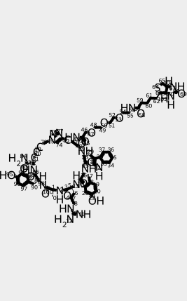 C[C@H]1NC(=O)[C@@H](CCCNC(=N)N)NC(=O)[C@@H](Cc2ccc(O)cc2)NC(=O)[C@@H](Cc2c[nH]c3ccccc23)NC(=O)[C@@H](NC(=O)COCCOCCOCCNC(=O)CCCC[C@H]2SC[C@H]3NC(=O)N[C@H]32)Cc2cn(nn2)CCCC[C@@H](C(N)=O)NC(=O)[C@@H](Cc2ccc(O)cc2)NC1=O